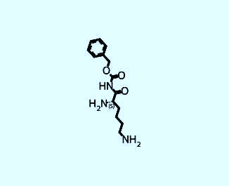 NCCCC[C@H](N)C(=O)NC(=O)OCc1ccccc1